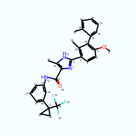 COc1ccc(-c2nc(C(=O)Nc3cccc(C4(C(F)(F)F)CC4)c3)c(C)[nH]2)c(C)c1-c1ccccc1C